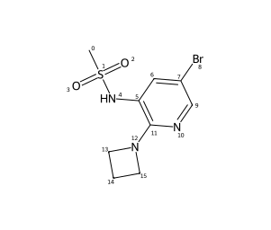 CS(=O)(=O)Nc1cc(Br)cnc1N1CCC1